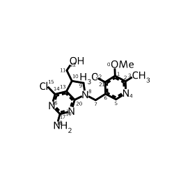 COc1c(C)ncc(CN2CC(CO)c3c(Cl)nc(N)nc32)c1C